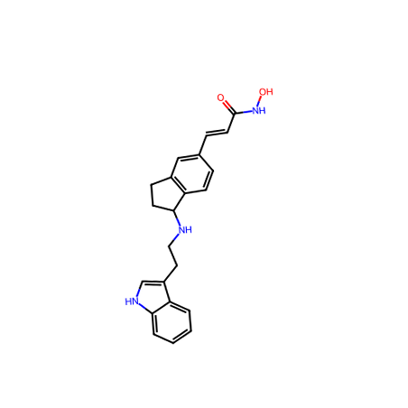 O=C(C=Cc1ccc2c(c1)CCC2NCCc1c[nH]c2ccccc12)NO